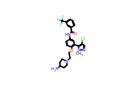 Cn1ncc(Cl)c1-c1cc(NC(=O)c2cccc(C(F)(F)F)c2)ccc1OCCN1CCC(N)CC1